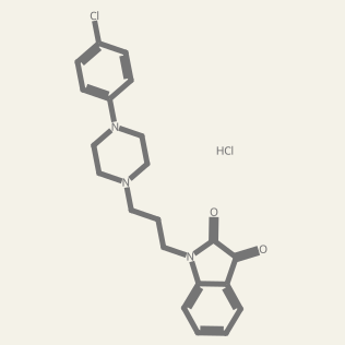 Cl.O=C1C(=O)N(CCCN2CCN(c3ccc(Cl)cc3)CC2)c2ccccc21